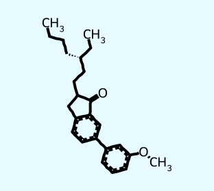 CCCC[C@H](CC)CCC1Cc2ccc(-c3cccc(OC)c3)cc2C1=O